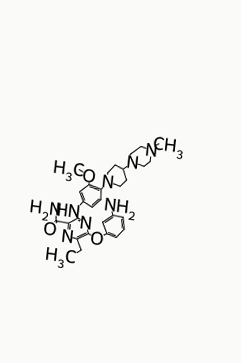 CCc1nc(C(N)=O)c(Nc2ccc(N3CCC(N4CCN(C)CC4)CC3)c(OC)c2)nc1Oc1cccc(N)c1